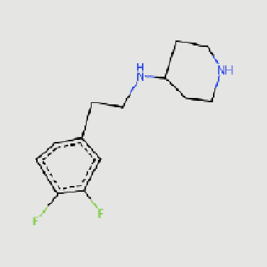 Fc1ccc(CCNC2CCNCC2)cc1F